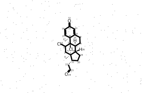 C[C@]12CC(Cl)[C@@]3(Cl)[C@@H](CCC4=CC(=O)C=C[C@@]43C)[C@@H]1CC[C@@H]2CC=O